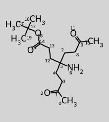 CC(=O)CCC(N)(CCC(C)=O)CCC(=O)OC(C)(C)C